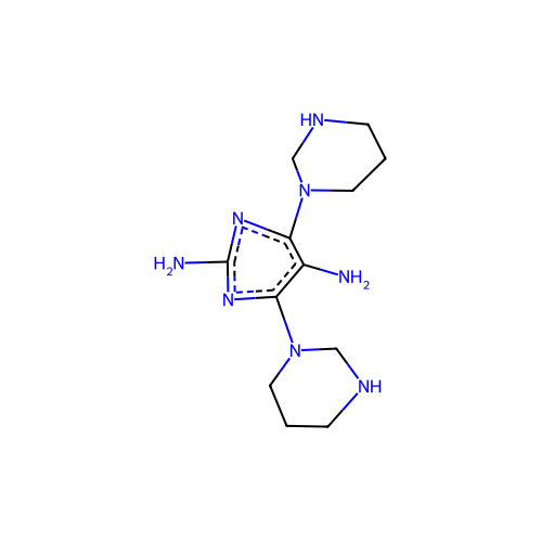 Nc1nc(N2CCCNC2)c(N)c(N2CCCNC2)n1